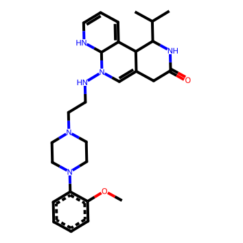 COc1ccccc1N1CCN(CCNN2C=C3CC(=O)NC(C(C)C)C3C3=CC=CNC32)CC1